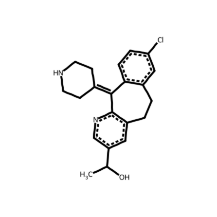 CC(O)c1cnc2c(c1)CCc1cc(Cl)ccc1C2=C1CCNCC1